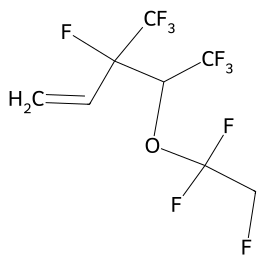 C=CC(F)(C(OC(F)(F)CF)C(F)(F)F)C(F)(F)F